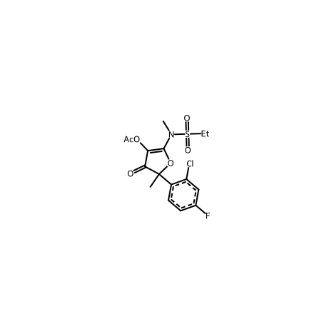 CCS(=O)(=O)N(C)C1=C(OC(C)=O)C(=O)C(C)(c2ccc(F)cc2Cl)O1